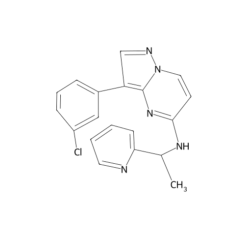 CC(Nc1ccn2ncc(-c3cccc(Cl)c3)c2n1)c1ccccn1